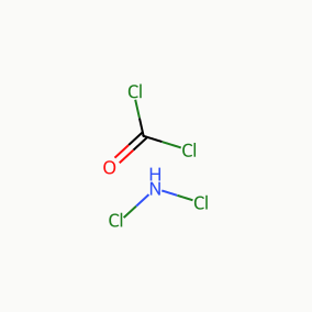 ClNCl.O=C(Cl)Cl